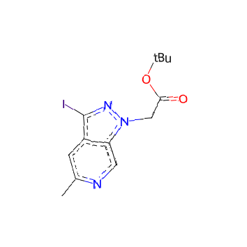 Cc1cc2c(I)nn(CC(=O)OC(C)(C)C)c2cn1